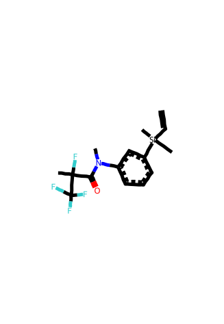 C=C[Si](C)(C)c1cccc(N(C)C(=O)C(C)(F)C(F)(F)F)c1